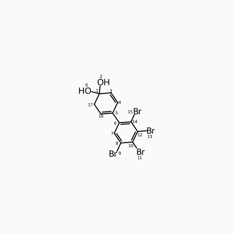 OC1(O)C=CC(c2cc(Br)c(Br)c(Br)c2Br)=CC1